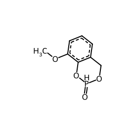 COc1cccc2c1O[PH](=O)OC2